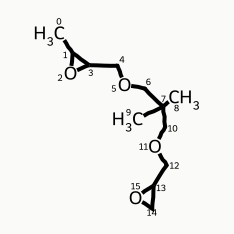 CC1OC1COCC(C)(C)COCC1CO1